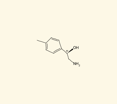 Cc1ccc([C@@H](O)CN)cc1